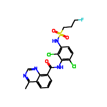 Cc1ncnc2c(C(=O)Nc3c(Cl)ccc(NS(=O)(=O)CCCF)c3Cl)cccc12